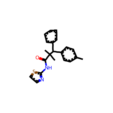 Cc1ccc(C(c2ccccc2)C(C)(C)C(=O)Nc2nccs2)cc1